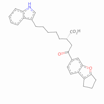 O=C(C[C@H](CCCCCc1c[nH]c2ccccc12)C(=O)O)c1ccc2c3c(oc2c1)CCC3